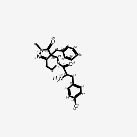 CN1N=C2CCN(C(=O)C(N)Cc3ccc(Cl)cc3)CC2(Cc2ccccc2)C1=O